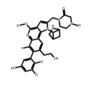 CCOc1nc2c(F)c(-c3cc(O)cc(Cl)c3Cl)c(CCC#N)cc2c2c1cc(CN1CCN(C(C)C)CC1=O)n2C1C2CNC1C2